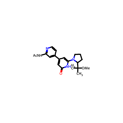 COC(C)(C)C1CCCN1c1cc(-c2ccnc(NC(C)=O)c2)cc(=O)[nH]1